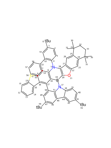 CC(C)(C)c1ccc(N2c3cc4sc5ccccc5c4c4c3B(c3oc5cc6c(cc5c32)C(C)(C)CCC6(C)C)n2c3ccc(C(C)(C)C)cc3c3cc(C(C)(C)C)cc-4c32)c(-c2ccccc2)c1